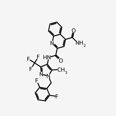 Cc1c(NC(=O)c2cc(C(N)=O)c3ccccc3n2)c(C(F)(F)F)nn1Cc1c(F)cccc1F